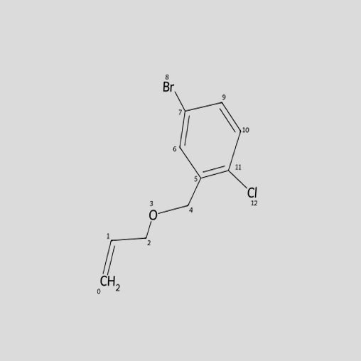 C=CCOCc1cc(Br)ccc1Cl